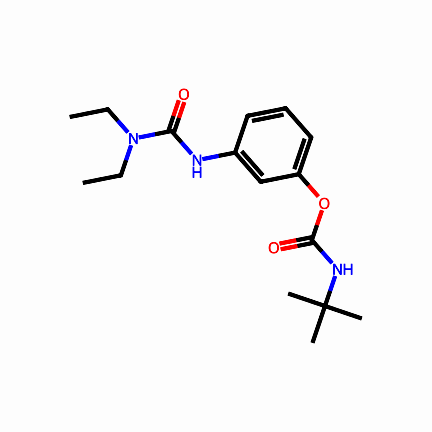 CCN(CC)C(=O)Nc1cccc(OC(=O)NC(C)(C)C)c1